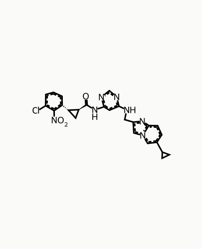 O=C(Nc1cc(NCc2cn3cc(C4CC4)ccc3n2)ncn1)[C@H]1C[C@@H]1c1cccc(Cl)c1[N+](=O)[O-]